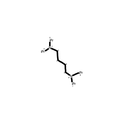 CC(C)N(CCCCN(C(C)C)C(C)C)C(C)C